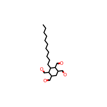 CCCCCCCCCCCC1C(C=O)C(C=O)CC(C=O)C1C=O